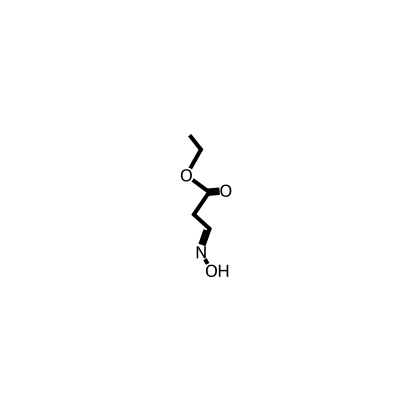 CCOC(=O)CC=NO